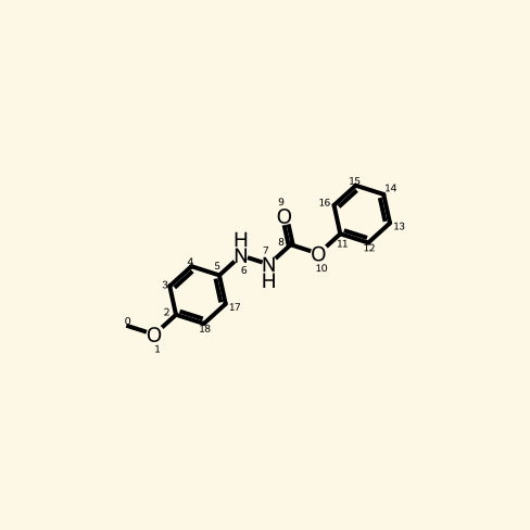 COc1ccc(NNC(=O)Oc2ccccc2)cc1